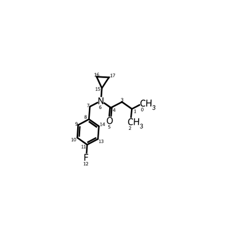 CC(C)CC(=O)N(Cc1ccc(F)cc1)C1CC1